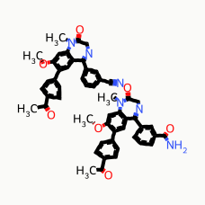 COc1cc2c(cc1-c1ccc(C(C)=O)cc1)C(c1cccc(C#N)c1)=NCC(=O)N2C.COc1cc2c(cc1-c1ccc(C(C)=O)cc1)C(c1cccc(C(N)=O)c1)=NCC(=O)N2C